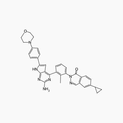 Cc1c(-c2nc(N)nc3[nH]c(-c4ccc(N5CCOCC5)cc4)cc23)cccc1-n1ncc2cc(C3CC3)ccc2c1=O